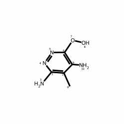 Cc1c(N)nnc(OO)c1N